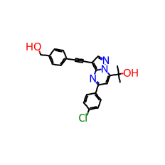 CC(C)(O)c1cc(-c2ccc(Cl)cc2)nc2c(C#Cc3ccc(CO)cc3)cnn12